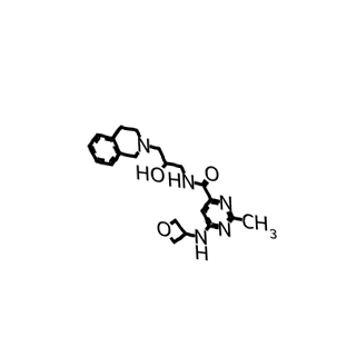 Cc1nc(NC2COC2)cc(C(=O)NCC(O)CN2CCc3ccccc3C2)n1